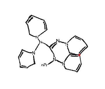 CCCN(C(=NN1C=CC=CC1)N(N1C=CC=CC1)N1C=CC=CC1)N1C=CC=CC1